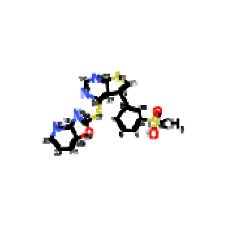 CS(=O)(=O)c1cccc(-c2csc3ncnc(Sc4nc5ncccc5o4)c23)c1